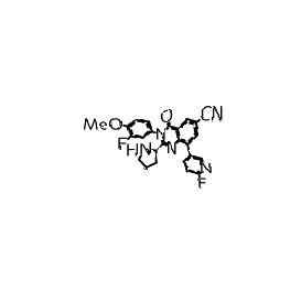 COc1ccc(-n2c([C@H]3CCCN3)nc3c(-c4ccc(F)nc4)cc(C#N)cc3c2=O)cc1F